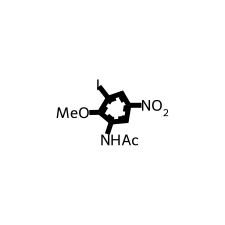 COc1c(I)cc([N+](=O)[O-])cc1NC(C)=O